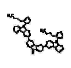 CCCCc1ccccc1N1c2ccccc2C2C=C(c3ccc4[nH]c5ccc(-c6ccc7c(c6)c6ccccc6n7-c6ccccc6CCCC)cc5c4c3)C=CC21